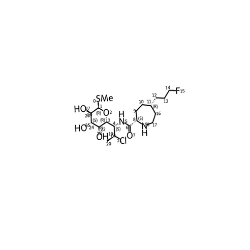 CS[C@H]1O[C@H]([C@H](NC(=O)[C@@H]2CC[C@H](CCCF)CCN2)[C@H](C)Cl)[C@H](O)[C@H](O)[C@H]1O